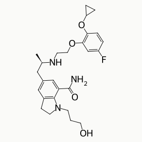 C[C@H](Cc1cc2c(c(C(N)=O)c1)N(CCCO)CC2)NCCOc1cc(F)ccc1OC1CC1